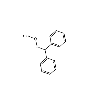 CC(C)(C)OOC(c1ccccc1)c1ccccc1